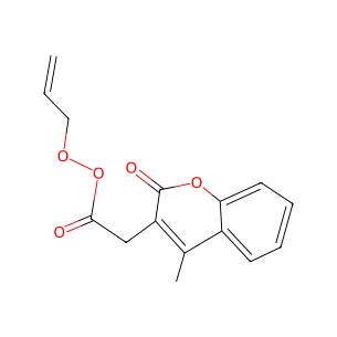 C=CCOOC(=O)Cc1c(C)c2ccccc2oc1=O